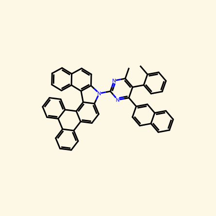 Cc1ccccc1-c1c(C)nc(-n2c3ccc4ccccc4c3c3c4c5ccccc5c5ccccc5c4ccc32)nc1-c1ccc2ccccc2c1